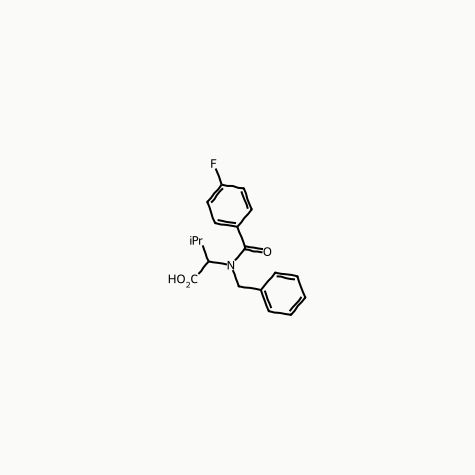 CC(C)C(C(=O)O)N(Cc1ccccc1)C(=O)c1ccc(F)cc1